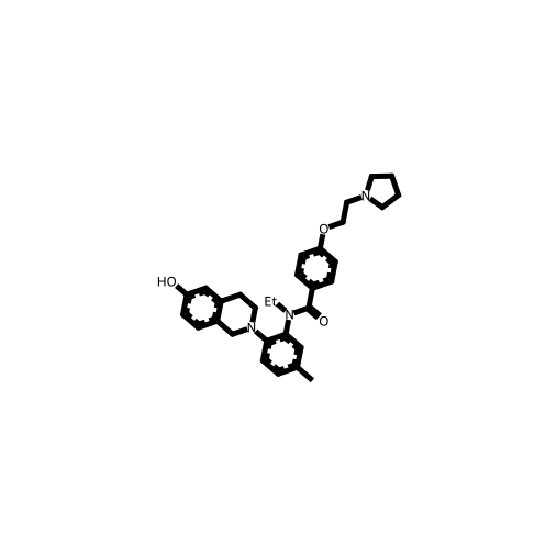 CCN(C(=O)c1ccc(OCCN2CCCC2)cc1)c1cc(C)ccc1N1CCc2cc(O)ccc2C1